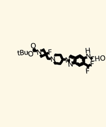 CC(C)(C)OC(=O)N1CC(F)(CN2CCC(n3cc4cc(NC=O)c(C(F)F)cc4n3)CC2)C1